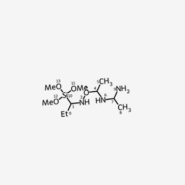 CCC(NOC(C)NC(C)N)[Si](OC)(OC)OC